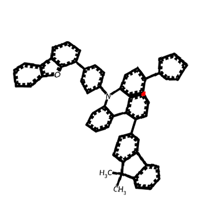 CC1(C)c2ccccc2-c2cc(-c3ccccc3-c3ccccc3N(c3ccc(-c4ccccc4)cc3)c3ccc(-c4cccc5c4oc4ccccc45)cc3)ccc21